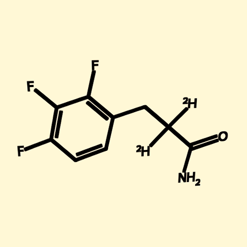 [2H]C([2H])(Cc1ccc(F)c(F)c1F)C(N)=O